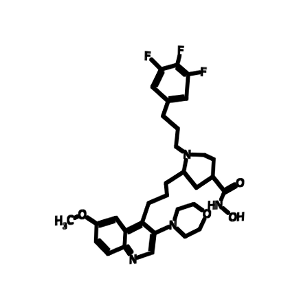 COc1ccc2ncc(N3CCOCC3)c(CCCC3CC(C(=O)NO)CCN3CCCc3cc(F)c(F)c(F)c3)c2c1